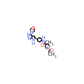 C=CC(=O)N1CCC(C)(C(=O)Nc2ccc(-c3cc4c(N5CCOCC5)ncnc4[nH]3)cc2)CC1